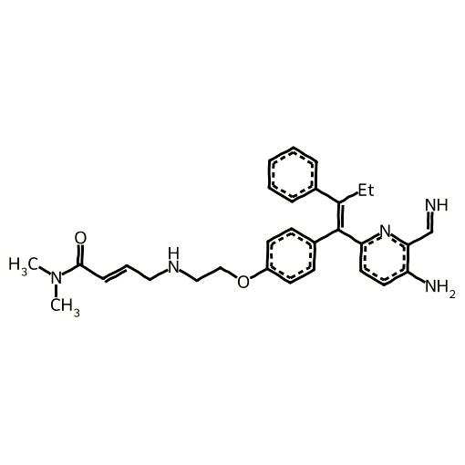 CC/C(=C(/c1ccc(OCCNC/C=C/C(=O)N(C)C)cc1)c1ccc(N)c(C=N)n1)c1ccccc1